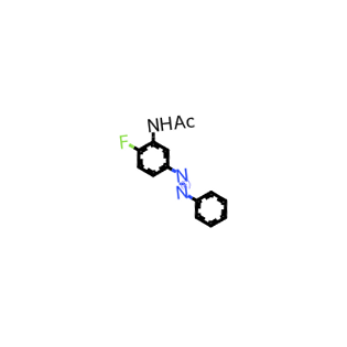 CC(=O)Nc1cc(/N=N/c2ccccc2)ccc1F